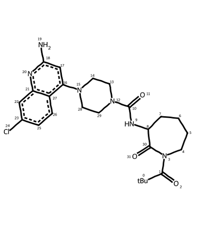 CC(C)(C)C(=O)N1CCCCC(NC(=O)N2CCN(c3cc(N)nc4cc(Cl)ccc34)CC2)C1=O